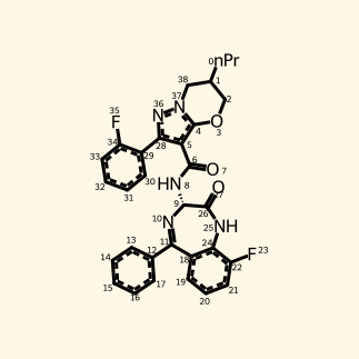 CCCC1COc2c(C(=O)N[C@H]3N=C(c4ccccc4)c4cccc(F)c4NC3=O)c(-c3ccccc3F)nn2C1